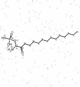 CCCCCCCCCCCCCC(=O)N(N)OP(=O)(O)O